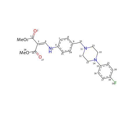 COC(=O)C(=CNc1ccc(CN2CCN(c3ccc(F)cc3)CC2)cc1)C(=O)OC